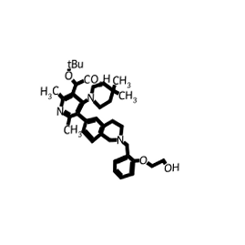 Cc1nc(C)c(C(OC(C)(C)C)C(=O)O)c(N2CCC(C)(C)CC2)c1-c1ccc2c(c1)CCN(Cc1ccccc1OCCO)C2